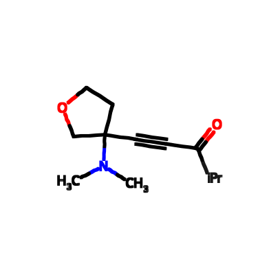 CC(C)C(=O)C#CC1(N(C)C)CCOC1